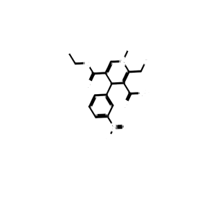 CCOC(=O)C1=CN(C)C(CF)=C(C(=O)O)C1c1cccc([N+](=O)[O-])c1